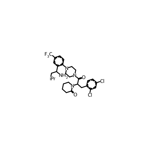 CC(C)CC(N)c1cc(C(F)(F)F)ccc1N1CCN(C(=O)C(Cc2ccc(Cl)cc2Cl)N2CCCCC2=O)CC1